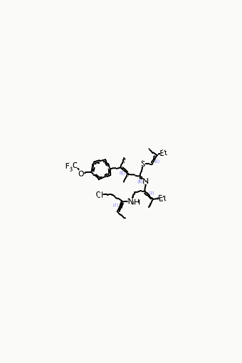 C/C=C(/CCl)NCC(/N=C(S/C=C(\C)CC)\C(C)=C(/C)c1ccc(OC(F)(F)F)cc1)=C(\C)CC